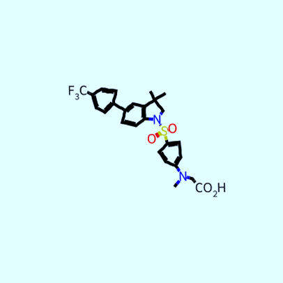 CN(CC(=O)O)c1ccc(S(=O)(=O)N2CC(C)(C)c3cc(-c4ccc(C(F)(F)F)cc4)ccc32)cc1